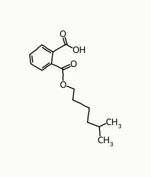 CC(C)CCCCOC(=O)c1ccccc1C(=O)O